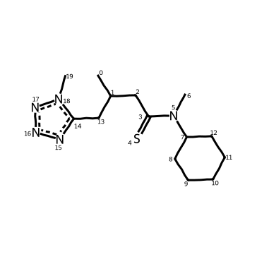 CC(CC(=S)N(C)C1CCCCC1)Cc1nnnn1C